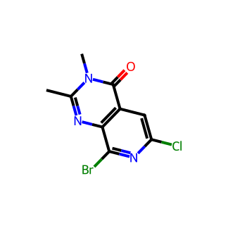 Cc1nc2c(Br)nc(Cl)cc2c(=O)n1C